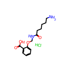 Cl.NCCCCCC(=O)NCOc1ccccc1C(=O)O